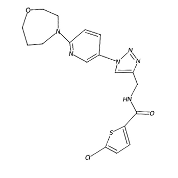 O=C(NCc1cn(-c2ccc(N3CCCOCC3)nc2)nn1)c1ccc(Cl)s1